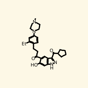 CCc1cc(N2CCN(C)CC2)ccc1CCC(=O)c1cc2c(C(=O)C3CCCC3)n[nH]c2cc1O